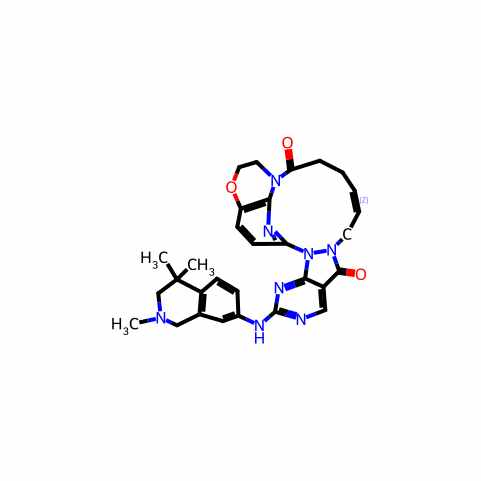 CN1Cc2cc(Nc3ncc4c(=O)n5n(c4n3)-c3ccc4c(n3)N(CCO4)C(=O)CC/C=C\C5)ccc2C(C)(C)C1